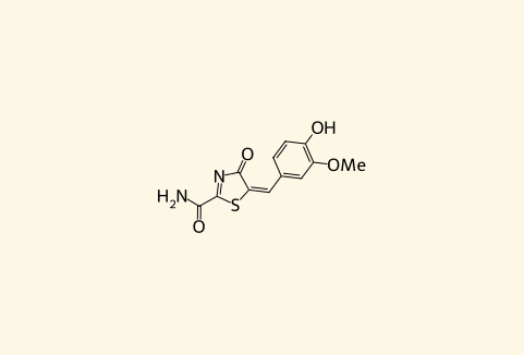 COc1cc(C=C2SC(C(N)=O)=NC2=O)ccc1O